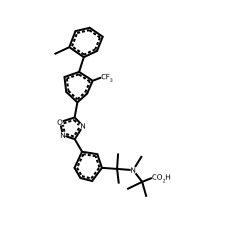 Cc1ccccc1-c1ccc(-c2nc(-c3cccc(C(C)(C)N(C)C(C)(C)C(=O)O)c3)no2)cc1C(F)(F)F